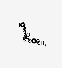 COc1ccc(OCC2SCCN2C(=O)CCSCc2cccnc2)cc1